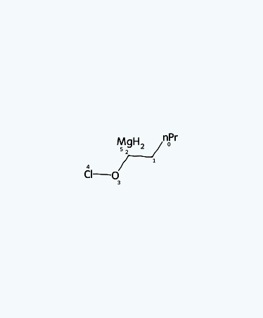 CCCCCOCl.[MgH2]